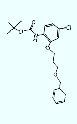 CC(C)(C)OC(=O)Nc1ccc(Cl)cc1OCCCOCC1C=CC=CC1